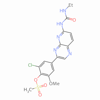 CCNC(=O)Nc1ccc2ncc(-c3cc(Cl)c(OS(C)(=O)=O)c(OC)c3)nc2n1